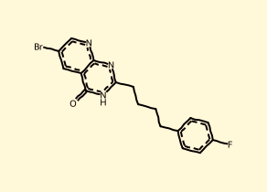 O=c1[nH]c(CCCCc2ccc(F)cc2)nc2ncc(Br)cc12